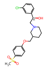 CS(=O)(=O)c1ccc(OCC2CCCN(C[C@H](O)c3cccc(Cl)c3)C2)cc1